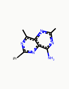 Cc1nc(N)c2nc(C(C)C)nc(C)c2n1